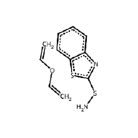 C=COC=C.NSc1nc2ccccc2s1